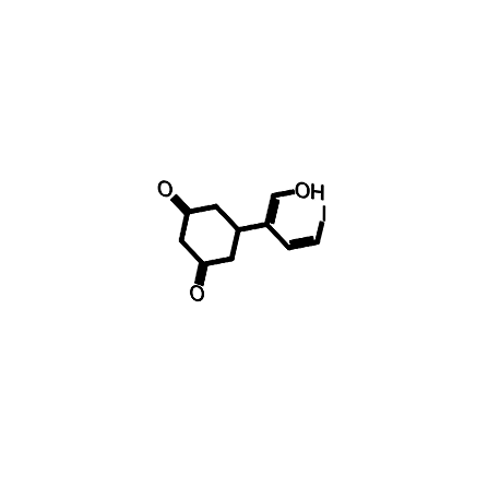 O=C1CC(=O)CC(C(/C=C\I)=C/O)C1